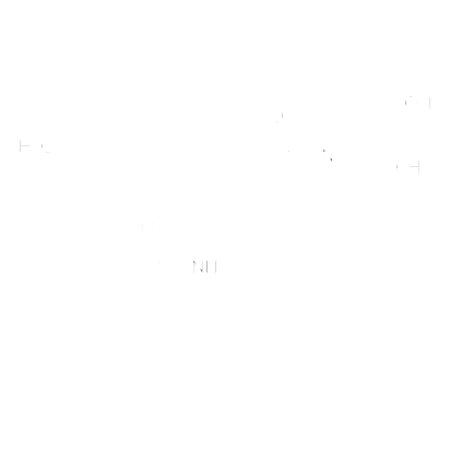 Cc1ccc(-c2ccccc2C(=O)Nc2ccc(C(=O)N(CCO)c3ccccc3C)cc2)cc1